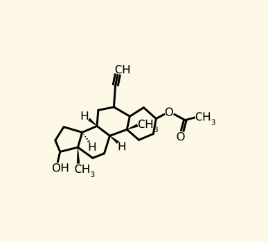 C#CC1C[C@@H]2[C@@H](CC[C@]3(C)C(O)CC[C@@H]23)[C@@]2(C)CCC(OC(C)=O)CC12